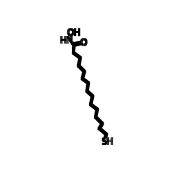 O=C(CCCCCCCCCCCCCCS)NO